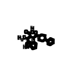 C[C@H](c1c[nH]c2ccccc12)[C@H](NC(=O)N1CCC(c2ccccc2)CC1)C(=O)O